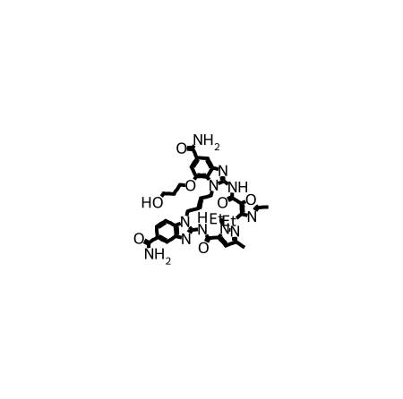 CCc1nc(C)oc1C(=O)Nc1nc2cc(C(N)=O)cc(OCCCO)c2n1C/C=C/Cn1c(NC(=O)c2cc(C)nn2CC)nc2cc(C(N)=O)ccc21